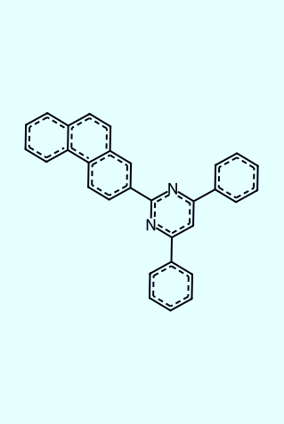 c1ccc(-c2cc(-c3ccccc3)nc(-c3ccc4c(ccc5ccccc54)c3)n2)cc1